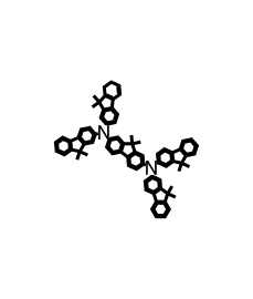 CC1(C)C2=C(C=CCC2)c2ccc(N(c3ccc4c(c3)C(C)(C)c3ccccc3-4)c3ccc4c(c3)C(C)(C)c3cc(N(c5ccc6c(c5)C(C)(C)c5ccccc5-6)c5ccc6c(c5)C(C)(C)c5ccccc5-6)ccc3-4)cc21